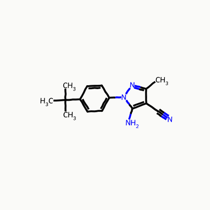 Cc1nn(-c2ccc(C(C)(C)C)cc2)c(N)c1C#N